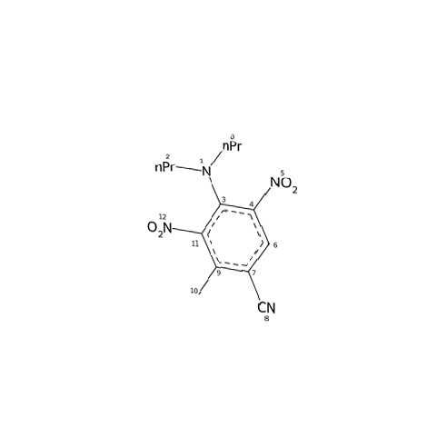 CCCN(CCC)c1c([N+](=O)[O-])cc(C#N)c(C)c1[N+](=O)[O-]